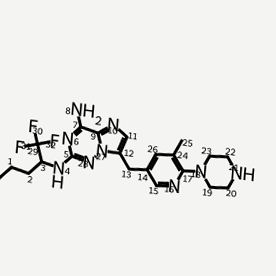 CCCC(Nc1nc(N)c2ncc(Cc3cnc(N4CCNCC4)c(C)c3)n2n1)C(F)(F)F